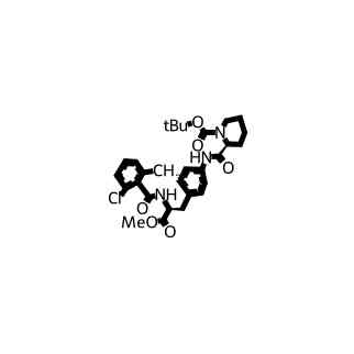 COC(=O)[C@H](Cc1ccc(NC(=O)[C@@H]2CCCCN2C(=O)OC(C)(C)C)cc1)NC(=O)c1c(C)cccc1Cl